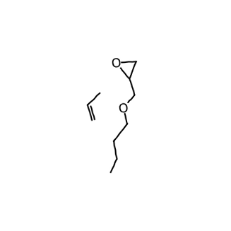 C=CC.CCCCOCC1CO1